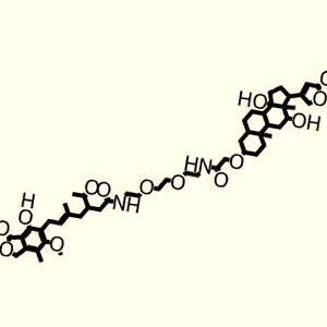 COc1c(C)c2c(c(O)c1C/C=C(\C)CC(CC(=O)NCCOCCOCCNC(=O)COC1CCC3(C)C(CCC4C3CC(O)C3(C)C(C5=CC(=O)OC5)CCC43O)C1)C(C)=O)C(=O)OC2